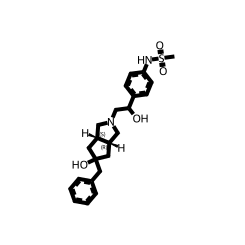 CS(=O)(=O)Nc1ccc(C(O)CN2C[C@@H]3CC(O)(Cc4ccccc4)C[C@@H]3C2)cc1